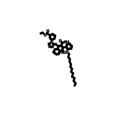 CCCCCCCCCCCCCCOc1ccccc1-c1c(C(N)=O)c(Sc2nnnn2-c2cccc(C(=O)OCC)c2)c2ccccc2c1O